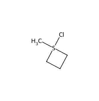 CS1(Cl)CCC1